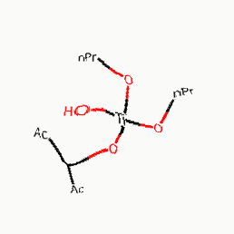 CCC[O][Ti]([OH])([O]CCC)[O]C(C(C)=O)C(C)=O